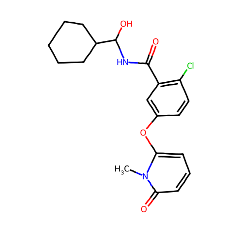 Cn1c(Oc2ccc(Cl)c(C(=O)NC(O)C3CCCCC3)c2)cccc1=O